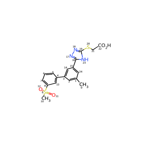 Cc1cc(-c2cccc(S(C)(=O)=O)c2)cc(-c2nnc(SCC(=O)O)[nH]2)c1